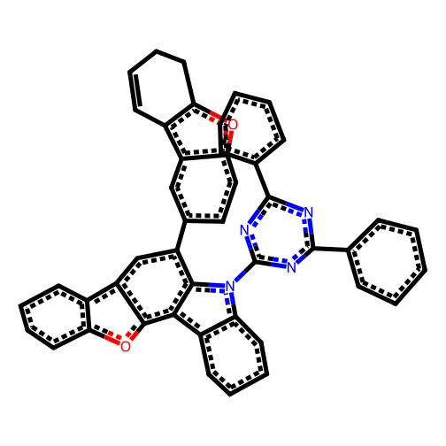 C1=Cc2c(oc3ccc(-c4cc5c6ccccc6oc5c5c6ccccc6n(-c6nc(-c7ccccc7)nc(-c7ccccc7)n6)c45)cc23)CC1